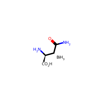 NC(=O)C[C@H](N)C(=O)O.[BiH3]